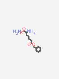 NOC(=O)[C@@H](N)CCCCC(=O)OCc1ccccc1